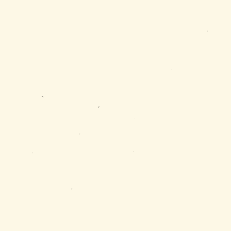 CCOC(C)(OC(=O)CCl)C(=O)C12CC3CC(CC(C3)C1)C2